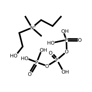 CCC[N+](C)(C)CCO.O=P(O)(O)OP(=O)(O)OP(=O)(O)O